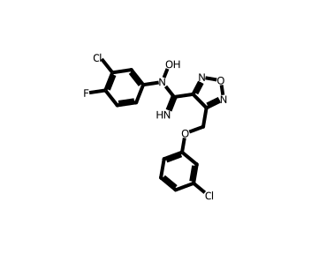 N=C(c1nonc1COc1cccc(Cl)c1)N(O)c1ccc(F)c(Cl)c1